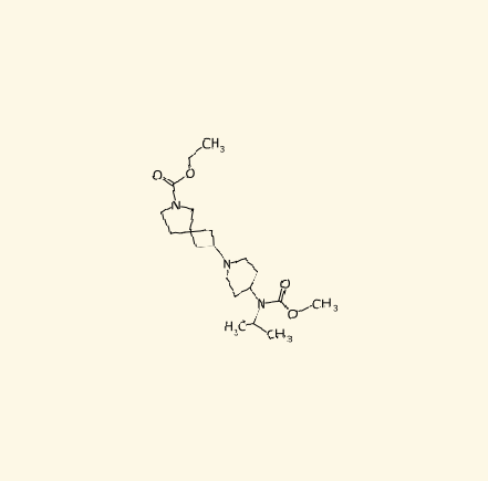 CCOC(=O)N1CCC2(CC(N3CCC(N(C(=O)OC)C(C)C)CC3)C2)C1